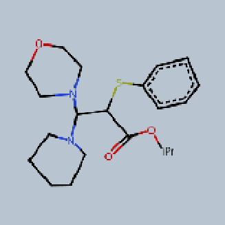 CC(C)OC(=O)C(Sc1ccccc1)C(N1CCCCC1)N1CCOCC1